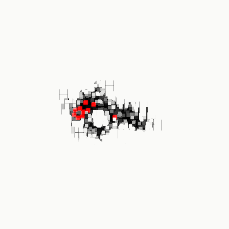 CC[C@H]1OC(=O)[C@H](C)[C@@H](O[C@H]2C[C@@](C)(OC)[C@](O)(CN3CCN(C)CC3)[C@H](C)O2)[C@H](C)[C@@H](OC2OC(C)CC(N(C)C(=O)Nc3ccccc3)C2OC(=O)Nc2ccccc2)[C@](C)(O)C[C@@H](C)CN[C@H](C)[C@@H](O)[C@]1(C)O